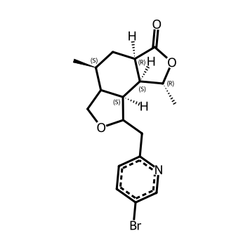 C[C@H]1C[C@H]2C(=O)O[C@H](C)[C@H]2[C@H]2C(Cc3ccc(Br)cn3)OCC21